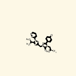 CC(=O)OC(C)c1nc(Cn2nc(-c3ccc(Cl)cc3)n(C[C@H](O)C(F)(F)F)c2=O)nn1-c1cccnn1